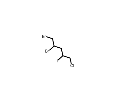 ClCC(I)CC(Br)CBr